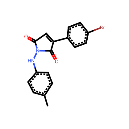 Cc1ccc(NN2C(=O)C=C(c3ccc(Br)cc3)C2=O)cc1